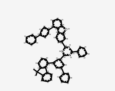 CC1(C)c2ccccc2-c2c(-c3cc(-c4ccccc4)cc(-c4nc(-c5ccccc5)nc(-c5ccc6c(c5)oc5cccc(-c7ccc(-c8ccccc8)cc7)c56)n4)c3)cccc21